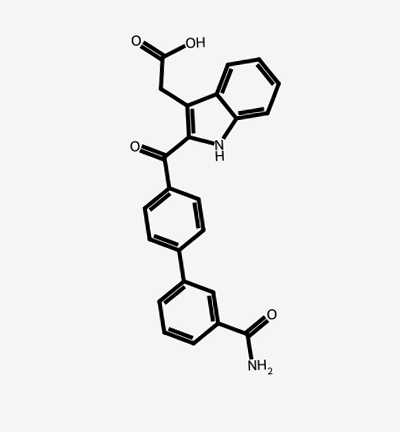 NC(=O)c1cccc(-c2ccc(C(=O)c3[nH]c4ccccc4c3CC(=O)O)cc2)c1